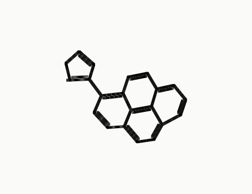 [C]1=C(c2ccc3ccc4cccc5ccc2c3c45)C=CC1